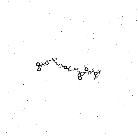 CN(CCN1CCC(OC(=O)Nc2ccccc2-c2ccccc2)CC1)C(=O)CCCC1CCN(c2ccc(C(=O)N(C)CCCN(C)C(=O)CO[C@H]3Cc4ccccc4C34CCN(CC[C@]3(c5ccc(F)cc5)CN(C(=O)c5cc(C(F)(F)F)cc(C(F)(F)F)c5)CO3)CC4)cc2)CC1